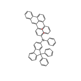 c1ccc(-c2cccc3c2c(-c2ccc(N(c4ccccc4)c4ccc5c(c4)C(c4ccccc4)(c4ccccc4)c4ccccc4-5)cc2)cc2ccccc23)cc1